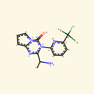 CC(N)c1nc2cccn2c(=O)n1-c1cccc(C(F)(F)F)n1